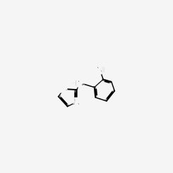 Nc1ccccc1Nc1nccs1